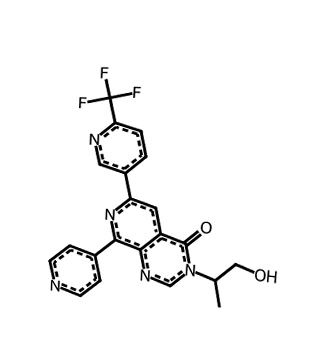 CC(CO)n1cnc2c(-c3ccncc3)nc(-c3ccc(C(F)(F)F)nc3)cc2c1=O